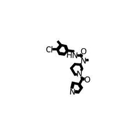 Cc1cc(CNC(=O)N(C)[C@@H]2CCCN(C(=O)c3ccncc3)C2)ccc1Cl